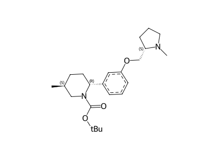 C[C@H]1CC[C@H](c2cccc(OC[C@@H]3CCCN3C)c2)N(C(=O)OC(C)(C)C)C1